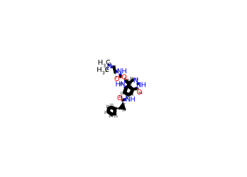 CN(C)CCNC(=O)Oc1[nH]c2cc(NC(=O)[C@@H]3C[C@H]3c3ccccc3)cc3c2c1C=NNC3=O